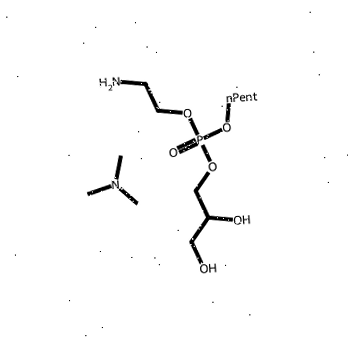 CCCCCOP(=O)(OCCN)OCC(O)CO.CN(C)C